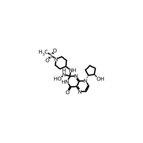 CS(=O)(=O)N1CCC(NC2(NO)N=C3C(=NC=CN3[C@@H]3CCC[C@H]3O)C(=O)N2)CC1